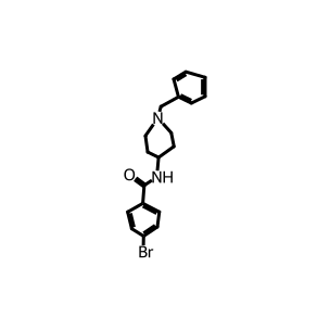 O=C(NC1CCN(Cc2ccccc2)CC1)c1ccc(Br)cc1